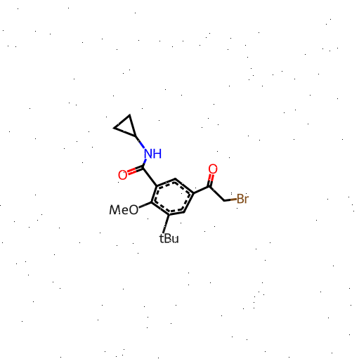 COc1c(C(=O)NC2CC2)cc(C(=O)CBr)cc1C(C)(C)C